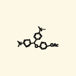 CC(=O)Oc1ccc(OC(c2ccc(N(C)C)cc2)c2ccc(N(C)C)cc2)cc1